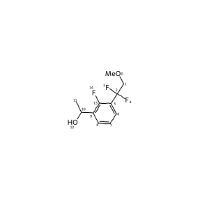 COCC(F)(F)c1cccc(C(C)O)c1F